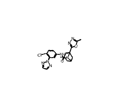 Cc1nnc(C23CC(C)CC(C2)N3C(=O)Nc2ccc(Cl)c(-n3nccn3)c2)o1